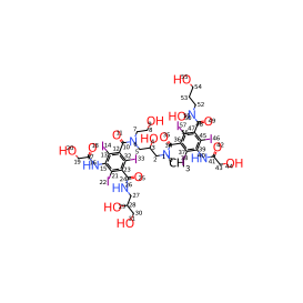 CN(CC(O)CN(CCO)C(=O)c1c(I)c(NC(=O)CO)c(I)c(C(=O)NCC(O)CO)c1I)C(=O)c1c(I)c(NC(=O)CO)c(I)c(C(=O)N(O)CCCO)c1I